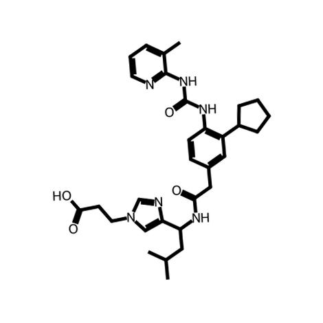 Cc1cccnc1NC(=O)Nc1ccc(CC(=O)NC(CC(C)C)c2cn(CCC(=O)O)cn2)cc1C1CCCC1